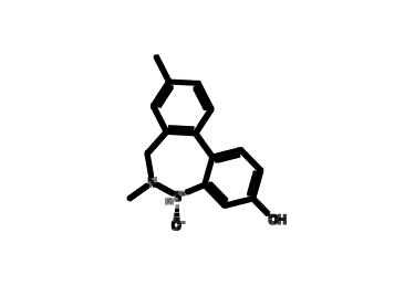 Cc1ccc2c(c1)CN(C)[S@@+]([O-])c1cc(O)ccc1-2